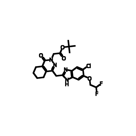 CC(C)(C)OC(=O)Cn1nc(Cc2nc3cc(Cl)c(OCC(F)F)cc3[nH]2)c2c(c1=O)CCCC2